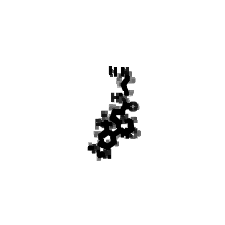 Cl.Cn1cnc2cc(-c3cccn4c(C(=O)NCCCN)ccc34)c(C(F)(F)F)cc21